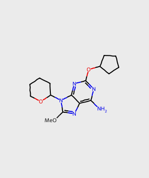 COc1nc2c(N)nc(OC3CCCC3)nc2n1C1CCCCO1